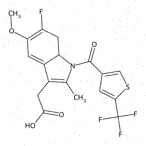 COC1=C(F)CC2C(=C1)C(CC(=O)O)=C(C)N2C(=O)c1csc(C(F)(F)F)c1